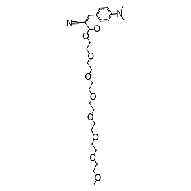 COCCOCCOCCOCCOCCOCCOCCOC(=O)/C(C#N)=C\c1ccc(N(C)C)cc1